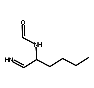 CCCCC(C=N)NC=O